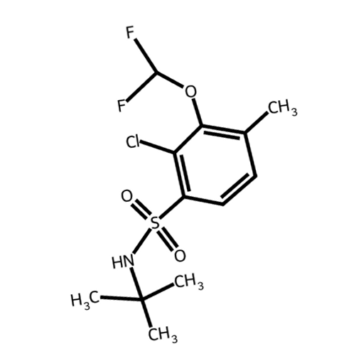 Cc1ccc(S(=O)(=O)NC(C)(C)C)c(Cl)c1OC(F)F